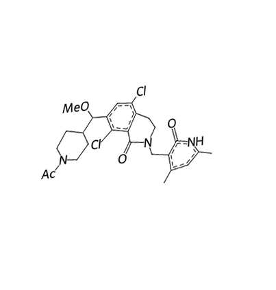 COC(c1cc(Cl)c2c(c1Cl)C(=O)N(Cc1c(C)cc(C)[nH]c1=O)CC2)C1CCN(C(C)=O)CC1